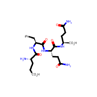 CC(C)C[C@H](NC(=O)[C@@H](N)CCC(=O)O)C(=O)N[C@@H](CCC(N)=O)C(=O)N[C@@H](CCC(N)=O)C(=O)O